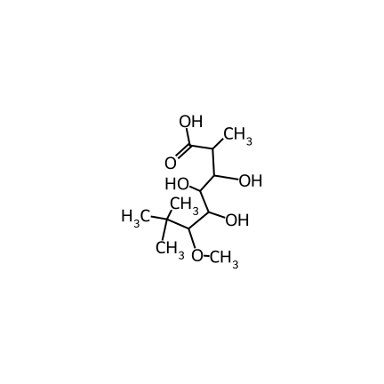 COC(C(O)C(O)C(O)C(C)C(=O)O)C(C)(C)C